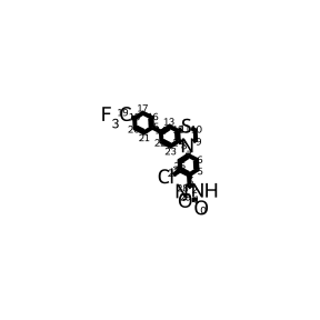 O=c1[nH]c(-c2ccc(N3CCSc4cc(C5=CCC(C(F)(F)F)C=C5)ccc43)cc2Cl)no1